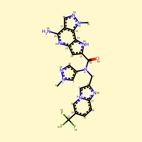 Cn1cc(N(Cc2cn3cc(C(F)(F)F)ccc3n2)C(=O)c2cc3nc(N)c4cnn(C)c4c3[nH]2)cn1